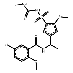 CNC(=S)NS(=O)(=O)c1sc(C(C)NC(=O)c2cc(Cl)ccc2OC)cc1SC